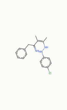 CC(NNc1ccc(Cl)cc1)=C(C)C(=N)Cc1ccccc1